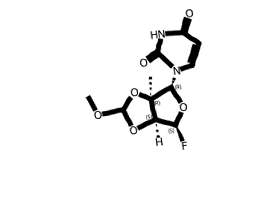 COC1O[C@@H]2[C@H](F)O[C@@H](n3ccc(=O)[nH]c3=O)[C@]2(C)O1